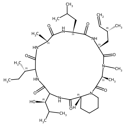 C=C[C@H](C)C[C@@H]1NC(=O)[C@H](CC(C)C)NC(=O)[C@H](C)NC(=O)C([C@@H](C)CC)NC(=O)C([C@H](O)C(C)C)NC(=O)[C@H]2CCCCN2C(=O)[C@H](C)N(C)C1=O